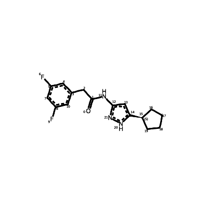 O=C(Cc1cc(F)cc(F)c1)Nc1cc([C@H]2C[CH]CC2)[nH]n1